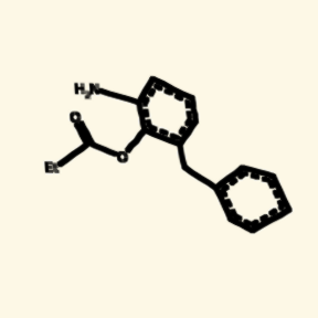 CCC(=O)Oc1c(N)cccc1Cc1ccccc1